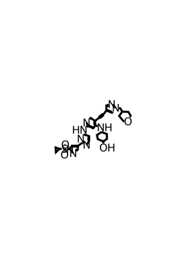 O=S(=O)(C1CC1)n1cc(-c2nccc(Nc3cc(NC4CCC(O)CC4)c(C#Cc4cnn(CC5CCOCC5)c4)cn3)n2)cn1